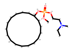 CCN(C)CCOP(=O)(OC)OC1CCCCCCCCCCCCCCCC1